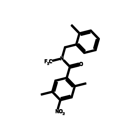 Cc1ccccc1CN(C(=O)c1cc(C)c([N+](=O)[O-])cc1C)C(F)(F)F